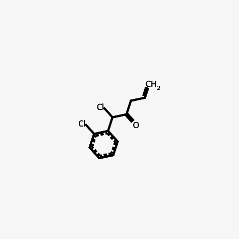 C=CCC(=O)C(Cl)c1ccccc1Cl